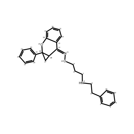 c1ccc(CCNCCCON=C2c3ccccc3OC3(c4ccccc4)CC23)cc1